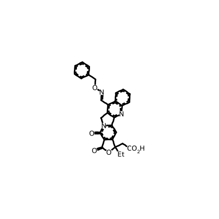 CCC1(CC(=O)O)OC(=O)c2c1cc1n(c2=O)Cc2c-1nc1ccccc1c2/C=N/OCc1ccccc1